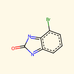 O=C1N=c2cccc(Br)c2=N1